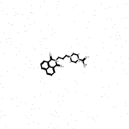 O=C1c2cccc3cccc(c23)C(=O)N1CCCN1CCN(C(=S)S)CC1